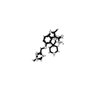 Cc1oc2ccc(OCc3ncn(C)n3)c(C3(CO)CCOCC3)c2c1C(N)=O